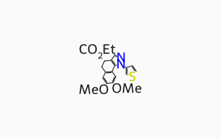 CCOC(=O)c1nn(-c2ccsc2)c2c1CCc1cc(OC)c(OC)cc1-2